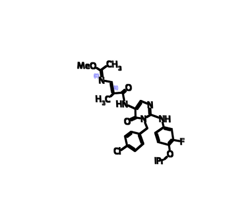 CO/C(C)=N/C=C(\C)C(=O)Nc1cnc(Nc2ccc(OC(C)C)c(F)c2)n(Cc2ccc(Cl)cc2)c1=O